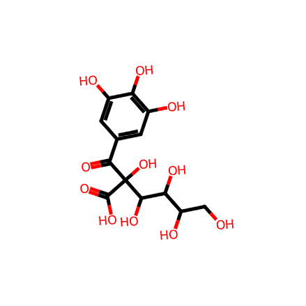 O=C(O)C(O)(C(=O)c1cc(O)c(O)c(O)c1)C(O)C(O)C(O)CO